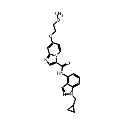 COCCOc1ccn2c(C(=O)Nc3cccc4c3cnn4CC3CC3)cnc2c1